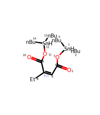 CCC[CH2][SnH]([CH2]CCC)[O]C(=O)/C=C(/CC)C(=O)[O][SnH]([CH2]CCC)[CH2]CCC